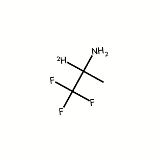 [2H]C(C)(N)C(F)(F)F